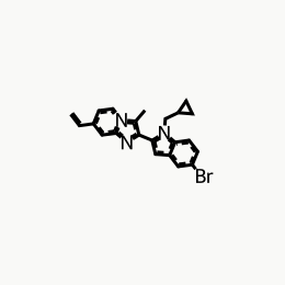 C=Cc1ccn2c(C)c(-c3cc4cc(Br)ccc4n3CC3CC3)nc2c1